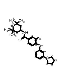 CC1(C)CC(NC(=O)c2ccc(Oc3cccc(N4CCCC4)c3)c(Cl)c2)CC(C)(C)N1